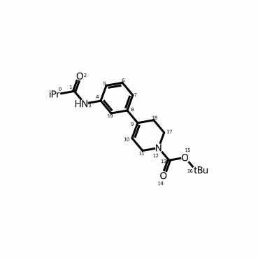 CC(C)C(=O)Nc1cccc(C2=CCN(C(=O)OC(C)(C)C)CC2)c1